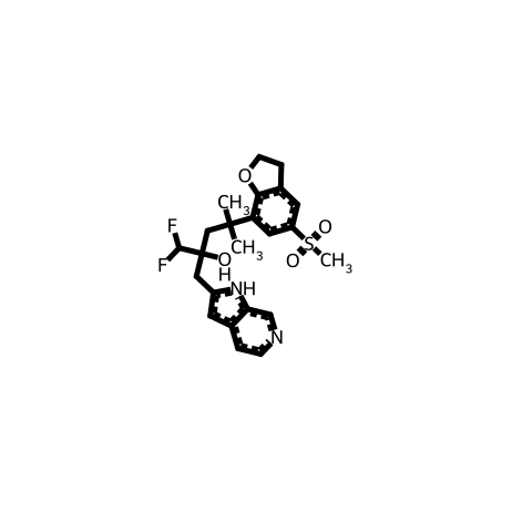 CC(C)(CC(O)(Cc1cc2ccncc2[nH]1)C(F)F)c1cc(S(C)(=O)=O)cc2c1OCC2